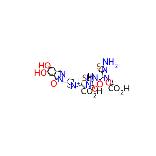 C[C@@H]1S[C@@H]2[C@H](NC(=O)/C(=N\OC(C)(C)C(=O)O)c3csc(N)n3)C(=O)N2C(C(=O)O)=C1C[N+]12CCC(Cn3ncc4cc(O)c(O)cc4c3=O)(CC1)C2